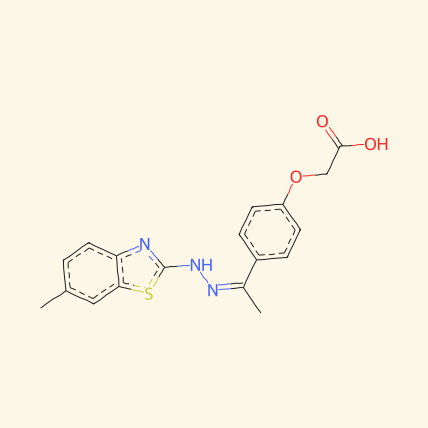 CC(=NNc1nc2ccc(C)cc2s1)c1ccc(OCC(=O)O)cc1